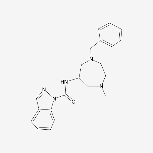 CN1CCN(Cc2ccccc2)CC(NC(=O)n2ncc3ccccc32)C1